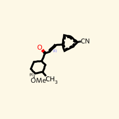 CO[C@@H]1CCC(C(=O)/C=C/c2ccc(C#N)cc2)CC1C